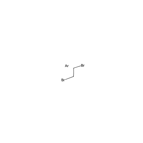 BrCCBr.[Ar]